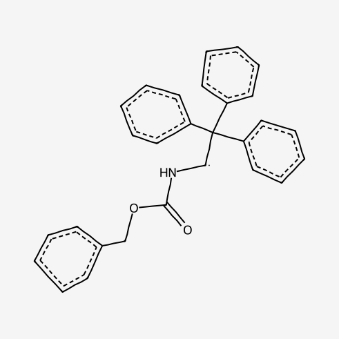 O=C(N[CH]C(c1ccccc1)(c1ccccc1)c1ccccc1)OCc1ccccc1